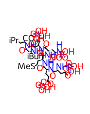 CC[C@H](C)[C@H](NC(=O)[C@@H](NC(=O)[C@H](CC(=O)NP(=O)(O)O)NC(=O)[C@H](CCSC)NC(=O)[C@H](CCC(=O)OP(=O)(O)O)NC(=O)[C@@H](N)CC(=O)OP(=O)(O)O)[C@@H](C)OP(=O)(O)O)C(=O)N[C@@H](CC(C)C)C(=O)O